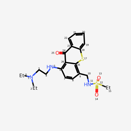 CCN(CC)CCNc1ccc(CNS(=O)(=O)CC)c2sc3ccccc3c(=O)c12